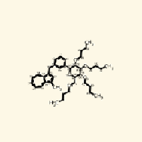 CCCCOC[C@H]1O[C@@H](c2cccc(Cc3cc(C)c4cccccc3-4)c2)[C@H](OCCCC)[C@@H](OCCCC)[C@@H]1OCCCC